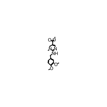 COC(=O)C1=CN=C(NCc2ccc(OC)c(OC)c2)N(C)C1